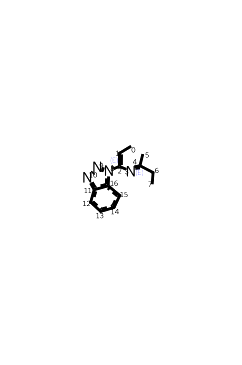 C/C=C(\N=C(/C)CC)n1nnc2ccccc21